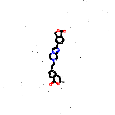 C[C@H]1Cc2cc(CCN3CCn4cc(-c5ccc6c(c5)COC6=O)nc4C3)ccc2C(=O)O1